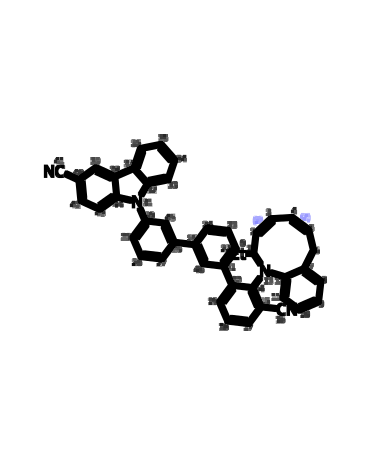 CCC1/C=C\C=C/Cc2ccccc2N1c1c(C#N)cccc1-c1cccc(-c2cccc(-n3c4ccccc4c4cc(C#N)ccc43)c2)c1